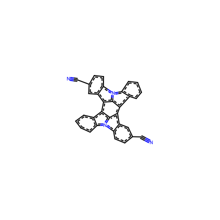 N#Cc1ccc2c(c1)c1c3c4ccccc4n4c5ccc(C#N)cc5c(c5c6ccccc6n2c51)c34